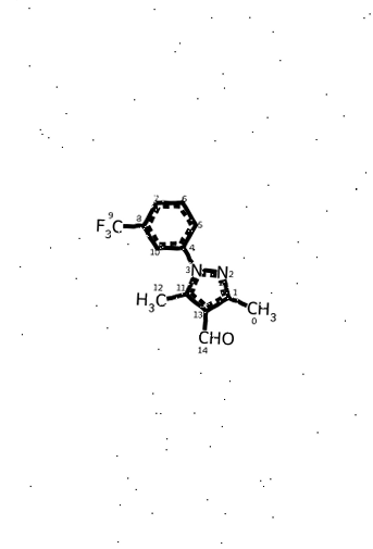 Cc1nn(-c2cccc(C(F)(F)F)c2)c(C)c1C=O